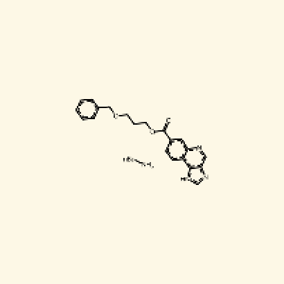 CCCCN.O=C(OCCCOCc1ccccc1)c1ccc2c(c1)ncc1nc[nH]c12